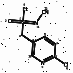 CCS(=O)(Cc1ccc(Cl)nc1)=NC#N